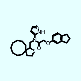 O=C(COc1ccc2c(c1)CCC2)N(CC1SCCC12CCCCCCCC2)c1ccn[nH]1